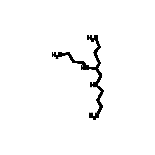 NCCCNCC(CCCN)NCCCN